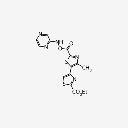 CCOC(=O)c1nc(-c2sc(C(=O)ONc3cnccn3)nc2C)cs1